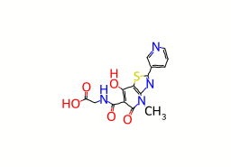 Cn1c(=O)c(C(=O)NCC(=O)O)c(O)c2sc(-c3cccnc3)nc21